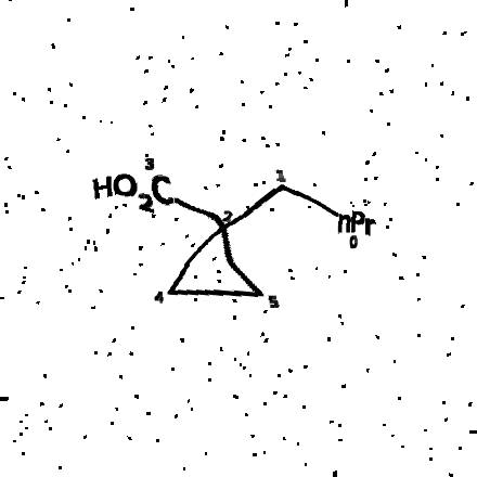 CCCCC1(C(=O)O)CC1